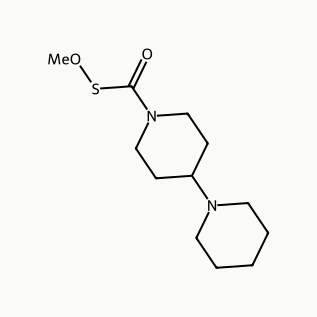 COSC(=O)N1CCC(N2CCCCC2)CC1